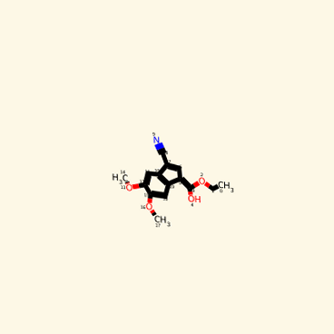 CCO/C(O)=C1\C=C(C#N)c2cc(OC)c(OC)cc21